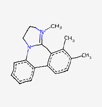 Cc1ccc2c(c1C)C1=[N+](C)CCN1c1ccccc1-2